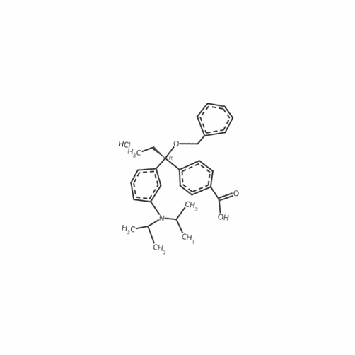 CC[C@@](OCc1ccccc1)(c1ccc(C(=O)O)cc1)c1cccc(N(C(C)C)C(C)C)c1.Cl